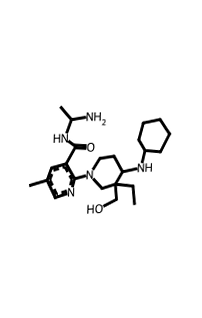 CCC1(CO)CN(c2ncc(C)cc2C(=O)NC(C)N)CCC1NC1CCCCC1